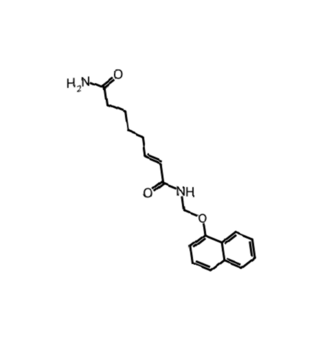 NC(=O)CCCCC=CC(=O)NCOc1cccc2ccccc12